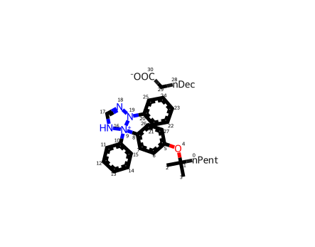 CCCCCC(C)(C)Oc1ccc([N+]2(c3ccccc3)NC=NN2c2ccccc2)cc1.CCCCCCCCCCCC(=O)[O-]